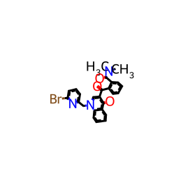 CN(C)C(=O)c1ccccc1C(=O)c1cn(Cc2cccc(Br)n2)c2ccccc2c1=O